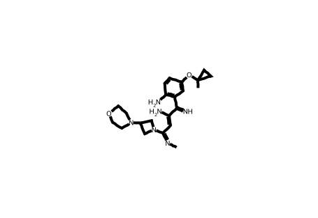 C/N=C(\C=C(/N)C(=N)c1cc(OC2(C)CC2)ccc1N)N1CC(N2CCOCC2)C1